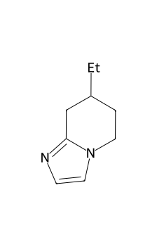 CCC1CCn2ccnc2C1